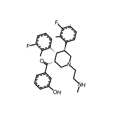 CNCCN1C[C@H](C(=O)c2cccc(O)c2)[C@H](c2cccc(F)c2C)[C@@H](c2cc[c]c(F)c2C)C1